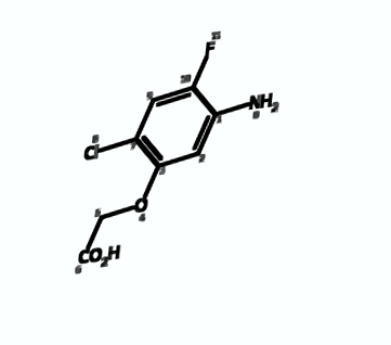 Nc1cc(OCC(=O)O)c(Cl)cc1F